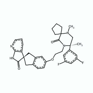 CN1C[C@@](C)(c2cc(F)cc(F)c2)N(CCOc2ccc3c(c2)C[C@@]2(C3)C(=O)Nc3ncccc32)C(=O)C12CCCC2